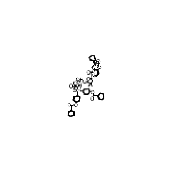 CC1(C)C[C@H](n2ccc(=O)n(Cc3noc4ccccc34)c2=O)O[C@@H]1COP(=O)(O)OP(=O)(OCc1ccc(OC(=O)c2ccccc2)cc1)OCc1ccc(OC(=O)c2ccccc2)cc1